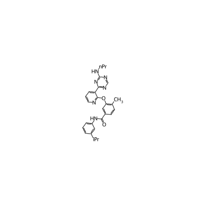 CCCNc1ncnc(-c2cccnc2Oc2cc(C(=O)Nc3cccc(C(C)C)c3)ccc2C)n1